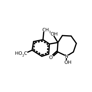 Cc1cc(C(=O)O)ccc1C1(O)CCCCN(O)C1=O